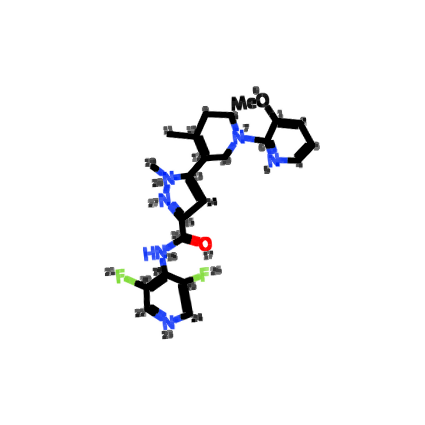 COc1cccnc1N1CCC(C)=C(c2cc(C(=O)Nc3c(F)cncc3F)nn2C)C1